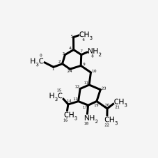 CCC1CC(CC)C(N)C(CC2CC(C(C)C)C(N)C(C(C)C)C2)C1